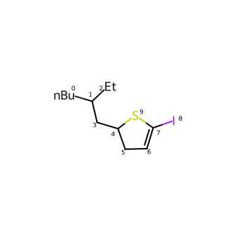 CCCCC(CC)CC1CC=C(I)S1